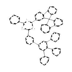 c1ccc(-c2nc(-c3cccc(-c4cc(-c5ccccc5)c(-c5ccccc5)c(-c5ccccc5)c4)c3)nc(-c3ccc4c(c3)C3(c5ccccc5-c5ccccc53)c3ccccc3-4)n2)cc1